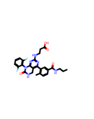 CCCNC(=O)c1ccc(C)c(-c2nc(NCCC(=O)O)nc3c2CNC(=O)N3c2c(F)cccc2F)c1